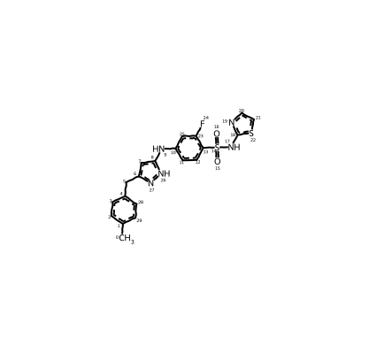 Cc1ccc(Cc2cc(Nc3ccc(S(=O)(=O)Nc4nccs4)c(F)c3)[nH]n2)cc1